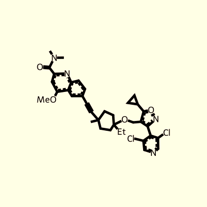 CCC1(OCc2c(-c3c(Cl)cncc3Cl)noc2C2CC2)CCC(C)(C#Cc2ccc3nc(C(=O)N(C)C)cc(OC)c3c2)CC1